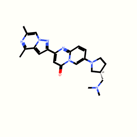 Cc1cn2nc(-c3cc(=O)n4cc(N5CC[C@H](CN(C)C)C5)ccc4n3)cc2c(C)n1